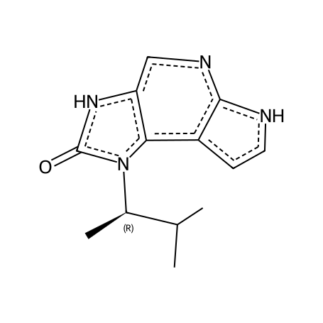 CC(C)[C@@H](C)n1c(=O)[nH]c2cnc3[nH]ccc3c21